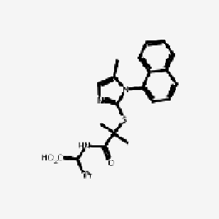 Cc1cnc(SC(C)(C)C(=O)NC(C(=O)O)C(C)C)n1-c1cccc2ccccc12